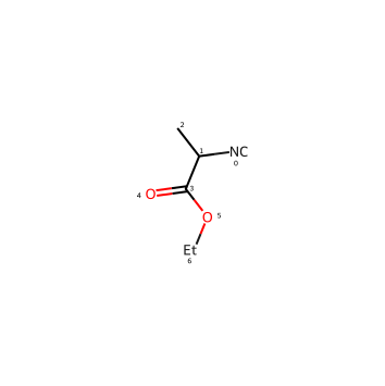 [C-]#[N+]C(C)C(=O)OCC